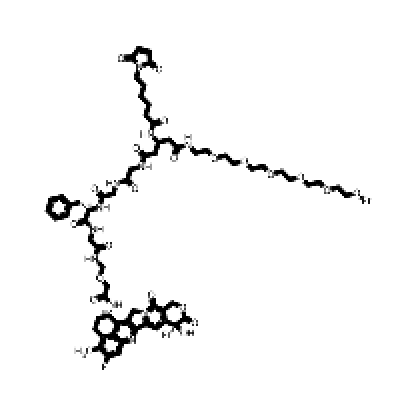 CCOCCOCCOCCOCCOCCOCCNC(=O)CC(CC(=O)NCC(=O)NCC(=O)N[C@@H](Cc1ccccc1)C(=O)NCC(=O)NCOCC(=O)N[C@H]1CCc2c(C)c(F)cc3nc4c(c1c23)Cn1c-4cc2c(c1=O)COC(=O)[C@]2(O)CC)NC(=O)CCCCCN1C(=O)C=CC1=O